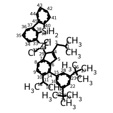 CC(C)CC1=Cc2c(ccc(C(C)C)c2-c2cc(C(C)(C)C)cc(C(C)(C)C)c2)[CH]1[Zr]([Cl])([Cl])[c]1cccc2c1[SiH2]c1ccccc1-2